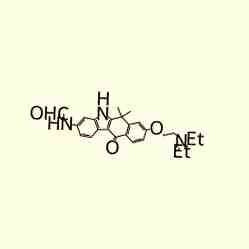 CCN(CC)CCOc1ccc2c(c1)C(C)(C)c1[nH]c3cc(NC=O)ccc3c1C2=O